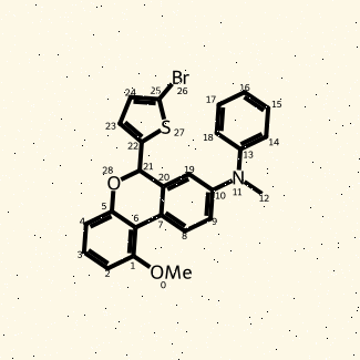 COc1cccc2c1-c1ccc(N(C)c3ccccc3)cc1C(c1ccc(Br)s1)O2